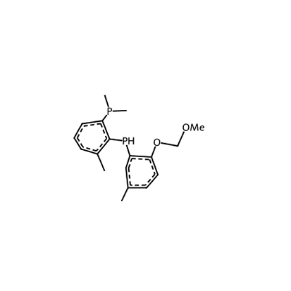 COCOc1ccc(C)cc1Pc1c(C)cccc1P(C)C